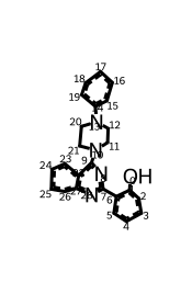 Oc1ccccc1-c1nc(N2CCN(c3ccccc3)CC2)c2ccccc2n1